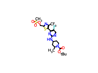 CC1CC(Nc2ncc(F)c(-c3sc(COS(C)(=O)=O)nc3C(F)(F)F)n2)CCN1C(=O)OC(C)(C)C